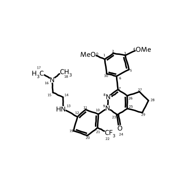 COc1cc(OC)cc(-c2nn(-c3cc(NCCN(C)C)ccc3C(F)(F)F)c(=O)c3c2CCC3)c1